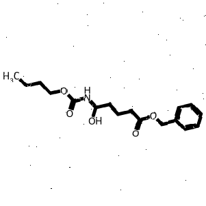 CCCCOC(=O)NC(O)CCCC(=O)OCc1ccccc1